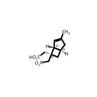 CC1=C[C@@H]2[C@@H](C1)C[C@@]2(CC(=O)O)C[N+](=O)[O-]